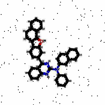 c1ccc(N(c2ccc3ccccc3c2)c2nc(-c3ccc4c(c3)oc3c5ccccc5ccc43)c3ccccc3n2)cc1